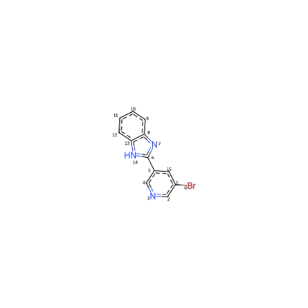 Brc1cncc(-c2nc3ccccc3[nH]2)c1